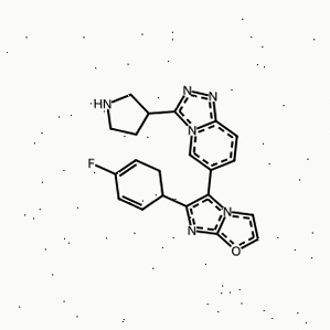 FC1=CCC(c2nc3occn3c2-c2ccc3nnc(C4CCNC4)n3c2)C=C1